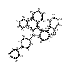 c1ccc(-c2ccc(-n3c4ccc5oc6ccccc6c5c4c4c5ccccc5c5ccccc5c43)cc2)cc1